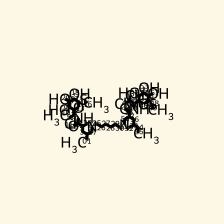 CCC1CC(C(=O)NC(C(C)Cl)C2O[C@H](SC)[C@@H](O)C(O)[C@H]2O)CN(CCCCCCN2CC(CC)CC(C(=O)NC(C(C)Cl)C3O[C@H](SC)C(O)[C@H](O)[C@H]3O)C2)C1